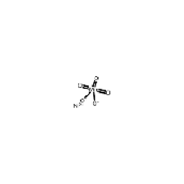 [Ni+2].[O]=[Mn](=[O])(=[O])([O-])[O-]